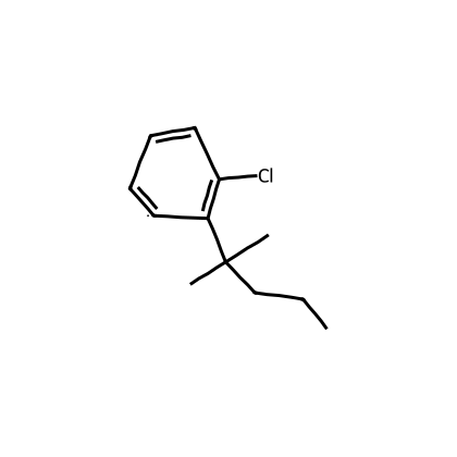 CCCC(C)(C)c1[c]cccc1Cl